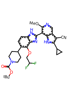 COc1ncc2c(C#N)c(C3CC3)[nH]c2c1-c1nc2c(OCC(F)F)c(C3CCN(C(=O)OC(C)(C)C)CC3)ccc2[nH]1